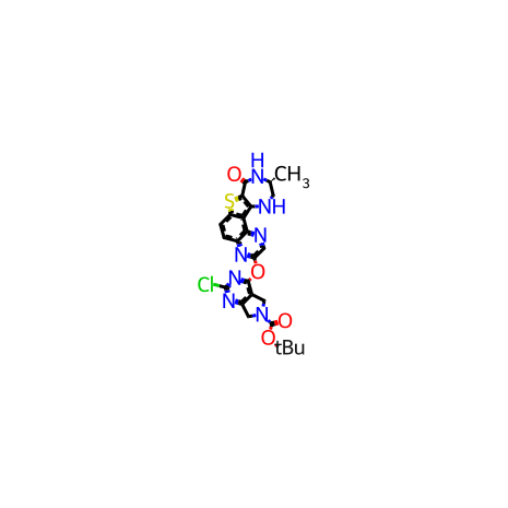 C[C@@H]1CNc2c(sc3ccc4nc(Oc5nc(Cl)nc6c5CN(C(=O)OC(C)(C)C)C6)cnc4c23)C(=O)N1